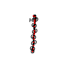 COCCOC(=O)CCCCCOC(=O)CCCCCOC(=O)CCCCCOC(=O)CCCCCOC(=O)CCCCCNC(=O)OCc1ccccc1